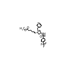 COC(=O)CCCC=C[C@@H]1C[C@@H](NS(=O)(=O)c2ccc(C(F)(F)F)cc2)CN1Cc1cccnc1